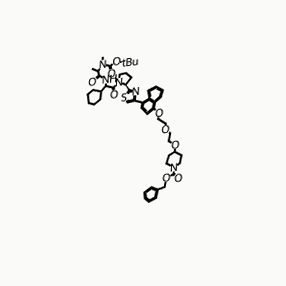 CC(C(=O)NC(C(=O)N1CCC[C@H]1c1nc(-c2ccc(OCCOCCOC3CCN(C(=O)OCc4ccccc4)CC3)c3ccccc23)cs1)C1CCCCC1)N(C)C(=O)OC(C)(C)C